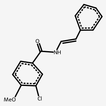 COc1ccc(C(=O)NC=Cc2ccccc2)cc1Cl